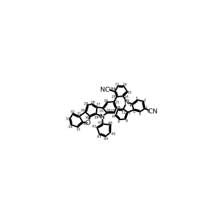 N#Cc1ccc2c(c1)c1ccccc1n2-c1cccc(C#N)c1-c1ccc2c(c1)c1ccc3c4ccccc4oc3c1n2-c1ccccc1